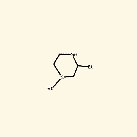 CCC1CN(CC)CCN1